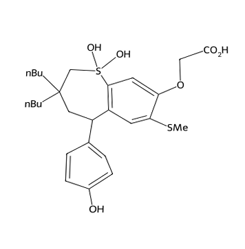 CCCCC1(CCCC)CC(c2ccc(O)cc2)c2cc(SC)c(OCC(=O)O)cc2S(O)(O)C1